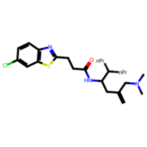 C=C(CC(NC(=O)CCc1nc2ccc(Cl)cc2s1)C(CCC)CCC)CN(C)C